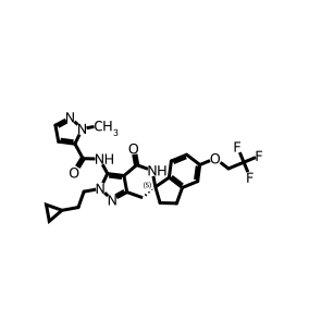 Cn1nccc1C(=O)Nc1c2c(nn1CCC1CC1)C[C@]1(CCc3cc(OCC(F)(F)F)ccc31)NC2=O